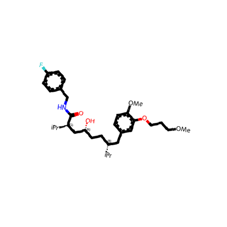 COCCCOc1cc(C[C@@H](CC[C@@H](O)C[C@H](C(=O)NCc2ccc(F)cc2)C(C)C)C(C)C)ccc1OC